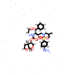 CC(C)CN(C[C@@H](O)[C@H](Cc1ccccc1)NC(=O)O[C@H]1CO[C@H]2OCC[C@H]21)S(=O)(=O)c1ccc(N)cc1.CCO